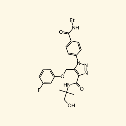 CCNC(=O)c1ccc(-n2nnc(C(=O)NC(C)(C)CO)c2COc2cccc(F)c2)cc1